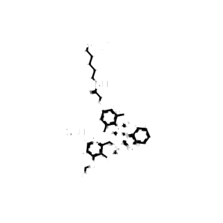 Cc1cc(OCC(=O)NCCCCCC(=O)O)cc(C)c1S(=O)(=O)n1c([S+]([O-])Cc2nccc(OCC(F)(F)F)c2C)nc2ccccc21.[NaH]